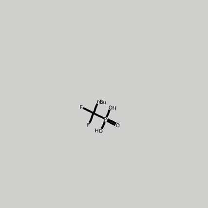 CCCCC(F)(F)P(=O)(O)O